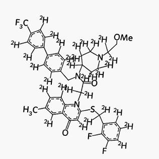 [2H]c1c([2H])c(F)c(F)c(C([2H])([2H])Sc2c([2H])c(=O)c3c([2H])c(C)c([2H])c([2H])c3n2C([2H])([2H])C(=O)N(Cc2c([2H])c([2H])c(-c3c([2H])c([2H])c(C(F)(F)F)c([2H])c3[2H])c([2H])c2[2H])C2([2H])C([2H])([2H])C([2H])([2H])N(C([2H])([2H])COC)C([2H])([2H])C2([2H])[2H])c1[2H]